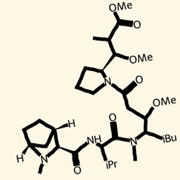 CCC(C)C(C(CC(=O)N1CCC[C@H]1C(OC)C(C)C(=O)OC)OC)N(C)C(=O)C(NC(=O)[C@@H]1[C@H]2CC[C@H](C2)N1C)C(C)C